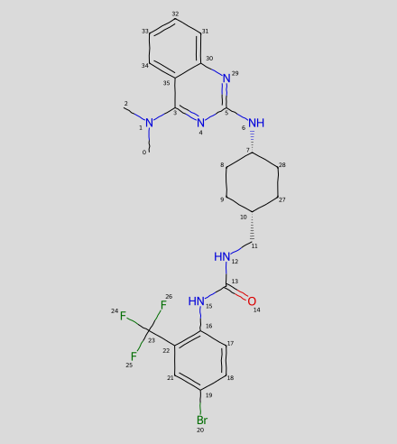 CN(C)c1nc(N[C@H]2CC[C@@H](CNC(=O)Nc3ccc(Br)cc3C(F)(F)F)CC2)nc2ccccc12